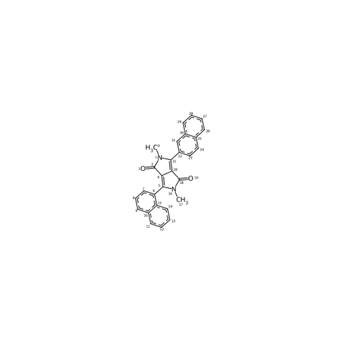 CN1C(=O)C2=C(c3cccc4ccccc34)N(C)C(=O)C2=C1c1ccc2ccccc2c1